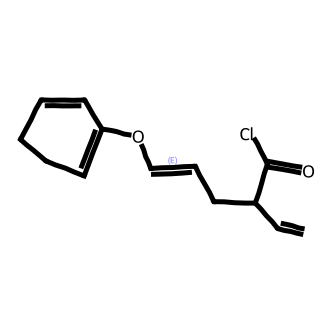 C=CC(C/C=C/OC1=CCCC=C1)C(=O)Cl